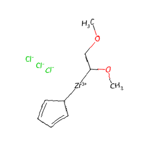 COC[CH](OC)[Zr+3][CH]1C=CC=C1.[Cl-].[Cl-].[Cl-]